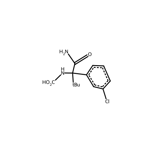 CC(C)(C)C(NC(=O)O)(C(N)=O)c1cccc(Cl)c1